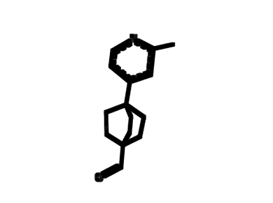 Cc1cc(C23CCC(C=O)(CC2)CC3)ccn1